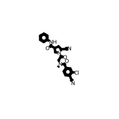 CN(CC(=O)N1CC(C(=O)Nc2ccccc2)CC1C#N)C(=O)c1ccc(C#N)c(Cl)c1